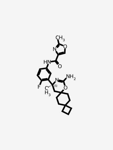 Cc1nc(C(=O)Nc2ccc(F)c([C@]3(C)CC4(CCC5(CCC5)CC4)OC(N)=N3)c2)co1